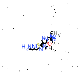 CN(Cc1cnnn1C)/N=C\c1c(C=O)n(C)c2nc(CC(=N)/C=C\N)sc12